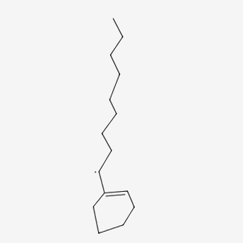 CCCCCCCC[CH]C1=CCCCC1